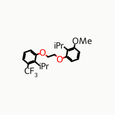 COc1cccc(OCCOc2cccc(C(F)(F)F)c2C(C)C)c1C(C)C